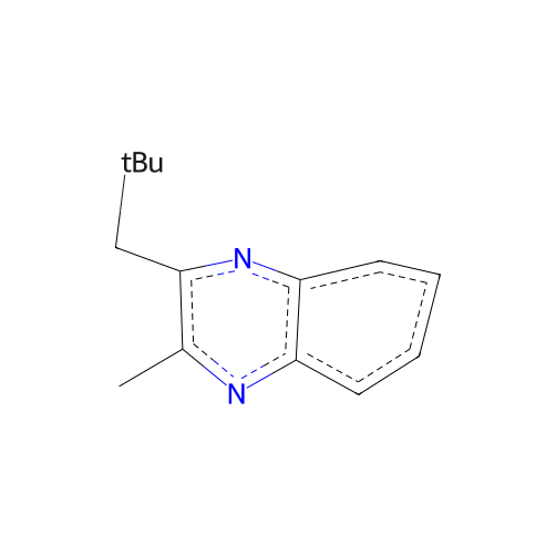 Cc1nc2ccccc2nc1CC(C)(C)C